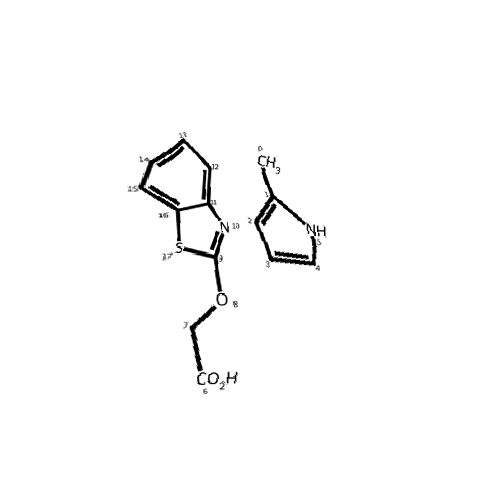 Cc1ccc[nH]1.O=C(O)COc1nc2ccccc2s1